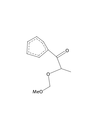 COCOC(C)C(=O)c1ccccc1